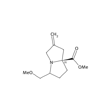 C=C1CN2C(COC)CC[C@@]2(C(=O)OC)C1